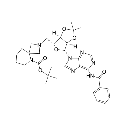 CC(C)(C)OC(=O)N1CCCCC12CN(C[C@H]1O[C@@H](n3cnc4c(NC(=O)c5ccccc5)ncnc43)[C@@H]3OC(C)(C)O[C@@H]31)C2